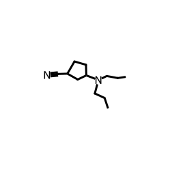 CCCN(CCC)C1CCC(C#N)C1